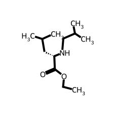 CCOC(=O)[C@H](CC(C)C)NCC(C)C